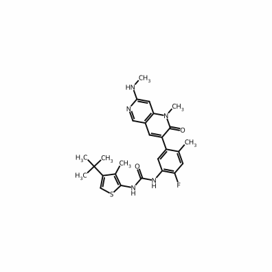 CNc1cc2c(cn1)cc(-c1cc(NC(=O)Nc3scc(C(C)(C)C)c3C)c(F)cc1C)c(=O)n2C